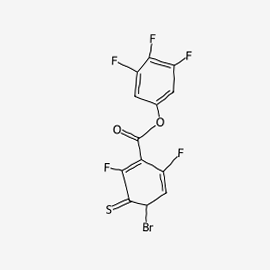 O=C(Oc1cc(F)c(F)c(F)c1)C1=C(F)C(=S)C(Br)C=C1F